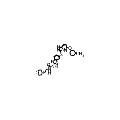 CC1CCCC(Oc2ccc3nnc(Sc4ccc5nc(NC(=O)NCCN6CCOCC6)sc5c4)n3n2)C1